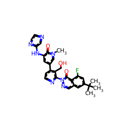 Cn1cc(-c2ccnc(-n3ncc4cc(C(C)(C)C)cc(F)c4c3=O)c2CO)cc(Nc2cnccn2)c1=O